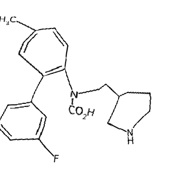 Cc1ccc(N(CC2CCNC2)C(=O)O)c(-c2cccc(F)c2)c1